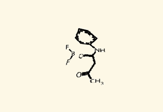 CC(=O)CC(=O)Nc1ccccc1.F[B]F